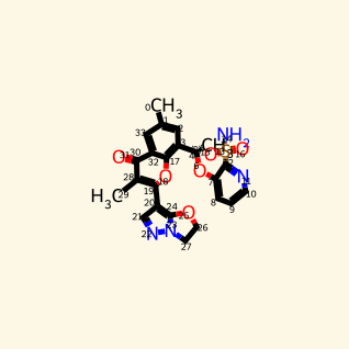 Cc1cc([C@@H](C)Oc2cccnc2S(N)(=O)=O)c2oc(-c3cnn4c3OCC4)c(C)c(=O)c2c1